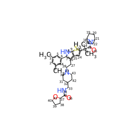 Cc1cc(C)cc(-c2[nH]c3sc(C(C)(C)C(=O)N4C5CCC4CC5)cc3c2CCN2CCC(CNC(=O)C3CCCO3)CC2)c1